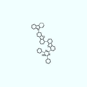 C1=Cc2c(c3ccccc3n2-c2ccc3c(c2)oc2c(-c4cccc5c4sc4c(C6=NC(c7ccccc7)NC(c7ccccc7)=N6)cccc45)cccc23)CC1